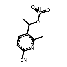 Cc1nc(C#N)ccc1C(C)O[SH](=O)=O